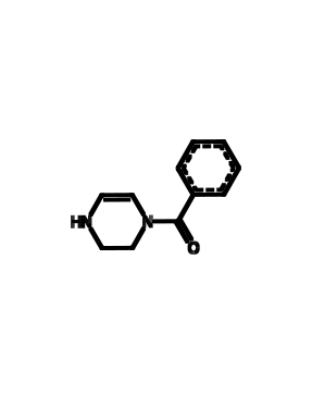 O=C(c1ccccc1)N1C=CNCC1